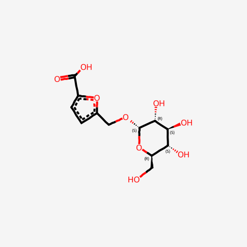 O=C(O)c1ccc(CO[C@H]2O[C@H](CO)[C@@H](O)[C@H](O)[C@H]2O)o1